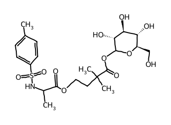 Cc1ccc(S(=O)(=O)NC(C)C(=O)OCCC(C)(C)C(=O)OC2O[C@H](CO)[C@@H](O)[C@H](O)[C@H]2O)cc1